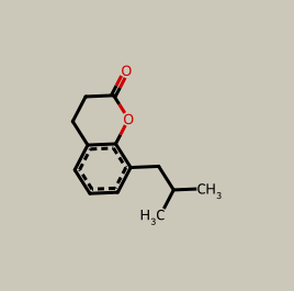 CC(C)Cc1cccc2c1OC(=O)CC2